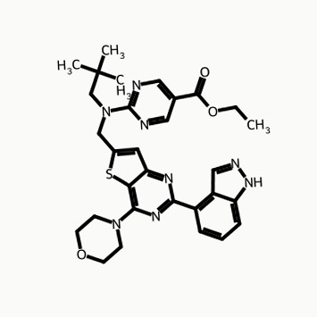 CCOC(=O)c1cnc(N(Cc2cc3nc(-c4cccc5[nH]ncc45)nc(N4CCOCC4)c3s2)CC(C)(C)C)nc1